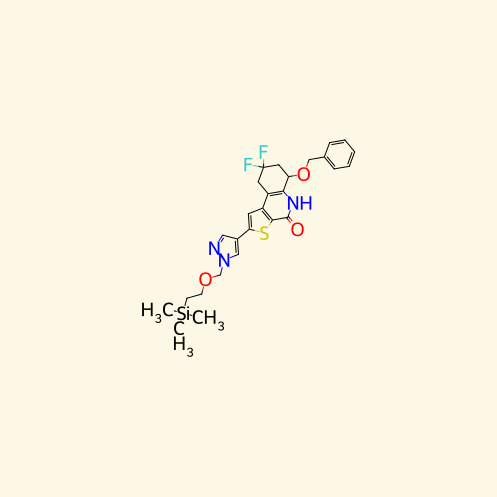 C[Si](C)(C)CCOCn1cc(-c2cc3c4c([nH]c(=O)c3s2)C(OCc2ccccc2)CC(F)(F)C4)cn1